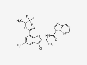 Cc1cc(C(=O)OC(C)C(F)(F)F)c2oc(C(C)NC(=O)c3cnn4cccnc34)c(Cl)c2c1